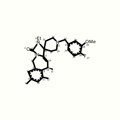 CCN1C(=O)N2Cc3cc(C)cc(C)c3[C@H](C)C=C2C12CCN(Cc1ccc(F)c(OC)c1)CC2